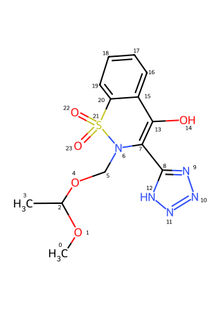 COC(C)OCN1C(c2nnn[nH]2)=C(O)c2ccccc2S1(=O)=O